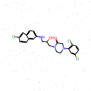 O=C1CN(c2cc(Cl)ccc2Cl)CCN1CC(O)CNc1ccc2cc(Cl)ccc2c1